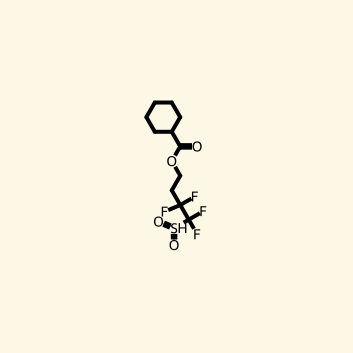 O=C(OCCC(F)(F)C(F)(F)[SH](=O)=O)C1CCCCC1